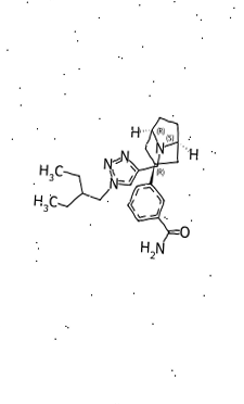 CCC(CC)Cn1cc(CN2[C@@H]3CC[C@H]2C[C@@H](c2cccc(C(N)=O)c2)C3)nn1